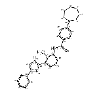 Cc1c(NC(=O)c2ccc(N3CCCCCC3)nc2)cccc1-c1nc(-c2ccccc2)c[nH]1